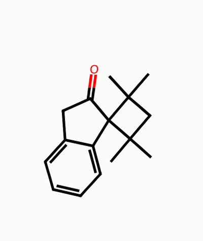 CC1(C)CC(C)(C)C12C(=O)Cc1ccccc12